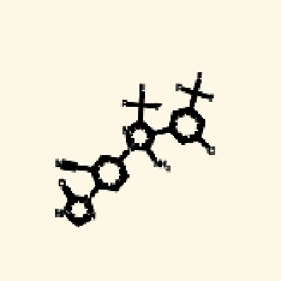 N#Cc1cc(-n2nc(C(F)(F)F)c(-c3cc(Cl)cc(C(F)(F)F)c3)c2N)ccc1-n1nc[nH]c1=O